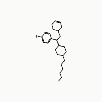 CCCCCCC1CCC(C(CC2CC=CCC2)c2ccc(F)cc2)CC1